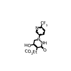 CCOC(=O)C1=C(O)CN(c2ccc(C(F)(F)F)nc2)NC1=O